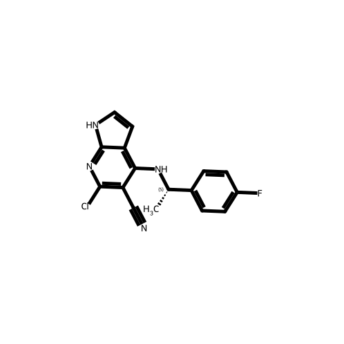 C[C@H](Nc1c(C#N)c(Cl)nc2[nH]ccc12)c1ccc(F)cc1